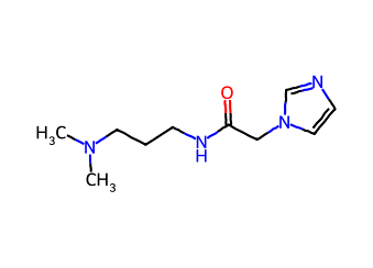 CN(C)CCCNC(=O)Cn1ccnc1